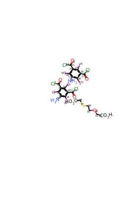 Nc1c(I)c(C(=O)Cl)c(I)c(C(=O)Cl)c1I.Nc1c(I)c(C(=O)Cl)c(I)c(C(=O)Cl)c1I.O=C(O)COCCSCC(=O)O